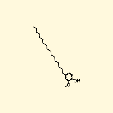 CCCCCCCCCCCCCCCCCc1ccc(O)c(OC)c1